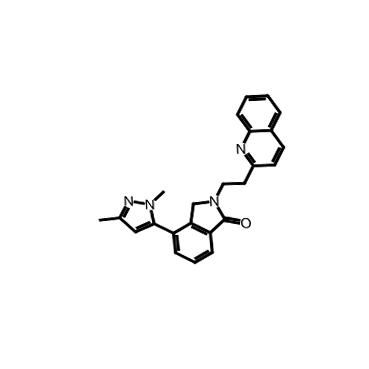 Cc1cc(-c2cccc3c2CN(CCc2ccc4ccccc4n2)C3=O)n(C)n1